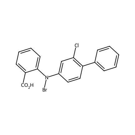 O=C(O)c1ccccc1N(Br)c1ccc(-c2ccccc2)c(Cl)c1